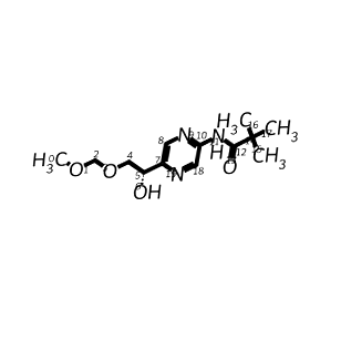 COCOC[C@@H](O)c1cnc(NC(=O)C(C)(C)C)cn1